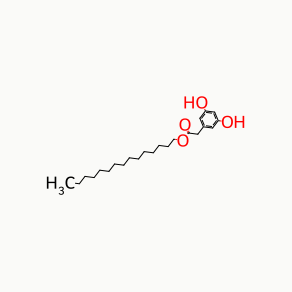 CCCCCCCCCCCCCCCOC(=O)Cc1cc(O)cc(O)c1